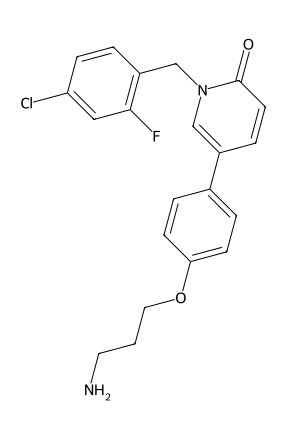 NCCCOc1ccc(-c2ccc(=O)n(Cc3ccc(Cl)cc3F)c2)cc1